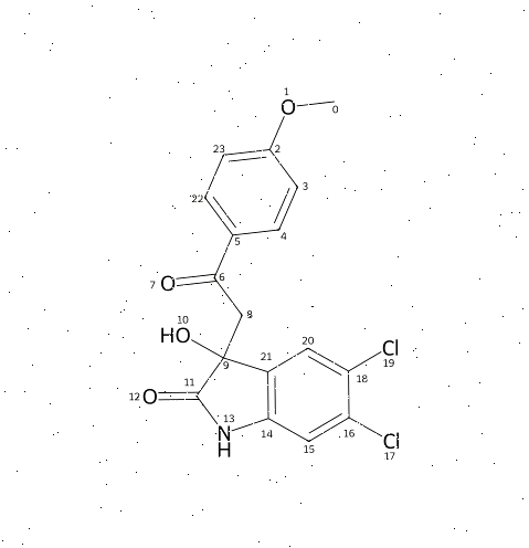 COc1ccc(C(=O)CC2(O)C(=O)Nc3cc(Cl)c(Cl)cc32)cc1